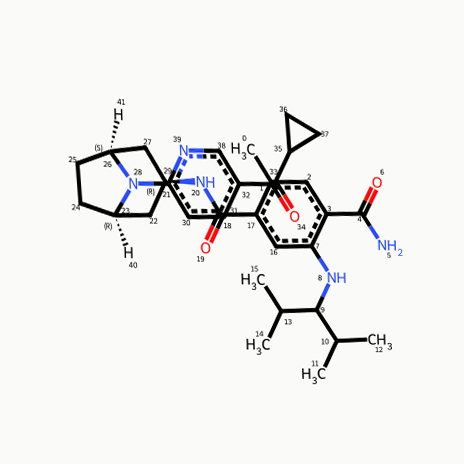 Cc1cc(C(N)=O)c(NC(C(C)C)C(C)C)cc1C(=O)N[C@H]1C[C@H]2CC[C@@H](C1)N2c1ccc(C(=O)C2CC2)cn1